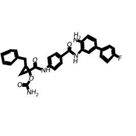 NC(=O)OC1(C(=O)Nc2ccc(C(=O)Nc3cc(-c4ccc(F)cc4)ccc3N)cc2)CC1Cc1ccccc1